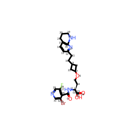 O=C(N[C@@H](CCOC1CC(CCc2ccc3c(n2)NCCC3)C1)C(=O)O)c1c(F)cncc1Br